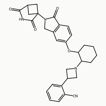 N#Cc1ccccc1C1CN(C2CCCCC2Oc2ccc3c(c2)CN(C24CC(C2)C(=O)NC4=O)C3=O)C1